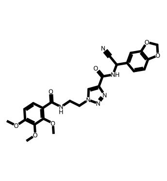 COc1ccc(C(=O)NCCn2cc(C(=O)NC(C#N)c3ccc4c(c3)OCO4)nn2)c(OC)c1OC